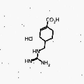 Cl.N=C(N)NCC1CC=C(C(=O)O)CC1